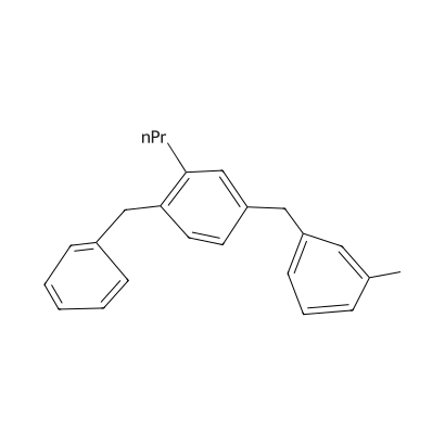 CCCc1cc(Cc2cccc(C)c2)ccc1Cc1ccccc1